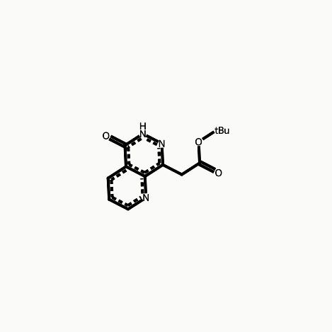 CC(C)(C)OC(=O)Cc1n[nH]c(=O)c2cccnc12